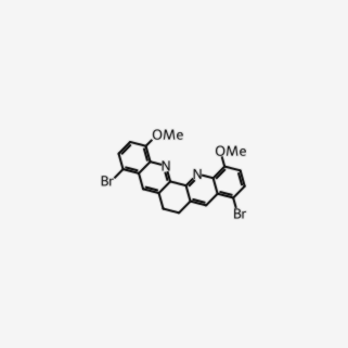 COc1ccc(Br)c2cc3c(nc12)-c1nc2c(OC)ccc(Br)c2cc1CC3